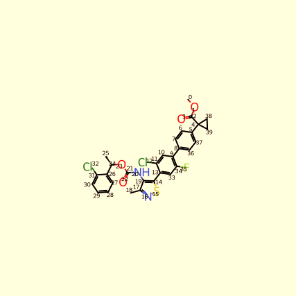 COC(=O)C1(c2ccc(-c3cc(Cl)c(-c4snc(C)c4NC(=O)O[C@H](C)c4ccccc4Cl)cc3F)cc2)CC1